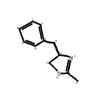 CC1=NC(Cc2ccccc2)CO1